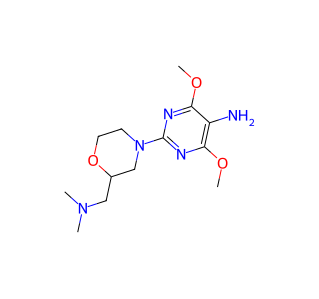 COc1nc(N2CCOC(CN(C)C)C2)nc(OC)c1N